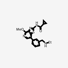 CCNCc1cccc(-c2cnc(OC)c3nc(NC(=O)C4CC4)sc23)c1